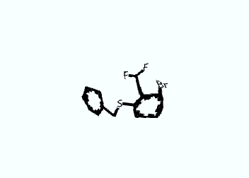 FC(F)c1c(Br)cccc1SCc1ccccc1